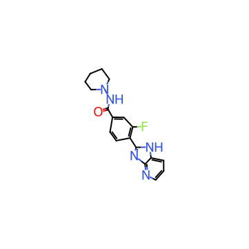 O=C(NN1CCCCC1)c1ccc(-c2nc3ncccc3[nH]2)c(F)c1